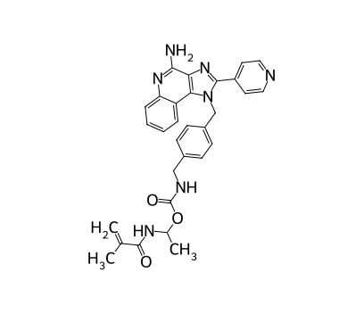 C=C(C)C(=O)NC(C)OC(=O)NCc1ccc(Cn2c(-c3ccncc3)nc3c(N)nc4ccccc4c32)cc1